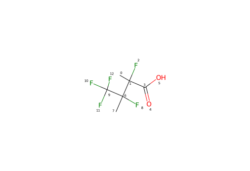 CC(F)(C(=O)O)C(C)(F)C(F)(F)F